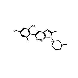 Cc1nc2cc(-c3c(O)cc(Cl)cc3F)nnc2n1[C@@H]1CCCN(C)C1